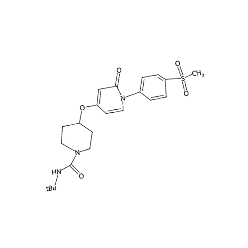 CC(C)(C)NC(=O)N1CCC(Oc2ccn(-c3ccc(S(C)(=O)=O)cc3)c(=O)c2)CC1